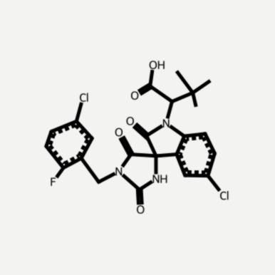 CC(C)(C)C(C(=O)O)N1C(=O)C2(NC(=O)N(Cc3cc(Cl)ccc3F)C2=O)c2cc(Cl)ccc21